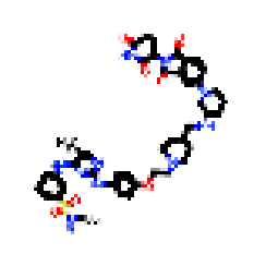 Cc1cnc(Nc2ccc(OCCN3CCC(CN[C@H]4CCCN(c5ccc6c(c5)C(=O)N(C5CCC(=O)NC5=O)C6=O)C4)CC3)cc2)nc1Nc1cccc(S(=O)(=O)NC(C)(C)C)c1